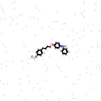 O=[N+]([O-])c1ccc(CCCCOc2ccc(Nc3ccccc3)cc2)cc1